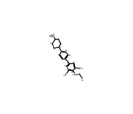 CCCCC1CCC(c2ccc(-c3cc(F)c(OCF)c(F)c3)cc2)CC1